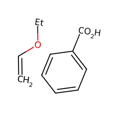 C=COCC.O=C(O)c1ccccc1